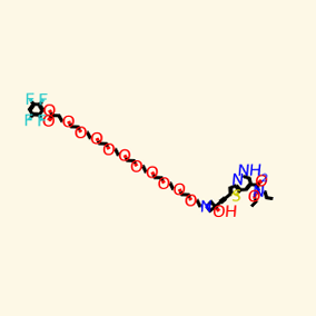 CCCN(OCC)C(=O)C1=Cc2sc(C#CC3(O)CN(CCOCCOCCOCCOCCOCCOCCOCCOCCOCCOCCC(=O)Oc4c(F)c(F)cc(F)c4F)C3)cc2N=C(N)C1